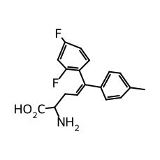 Cc1ccc(/C(=C/CC(N)C(=O)O)c2ccc(F)cc2F)cc1